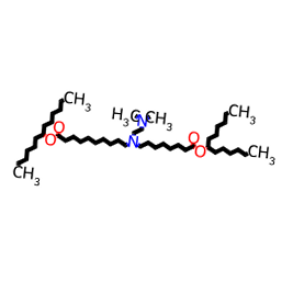 CCCCCCC(CCCCCC)OC(=O)CCCCCCCCCN(CCCCCCCC(=O)OC(CCCCCC)CCCCCC)CCN(C)C